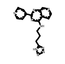 c1cc(-c2nc(NCCCc3nnn[nH]3)c3ccncc3n2)ccn1